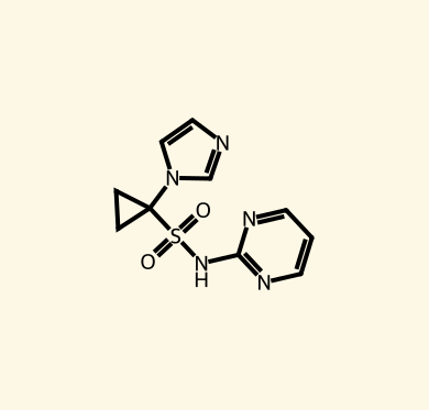 O=S(=O)(Nc1ncccn1)C1(n2ccnc2)CC1